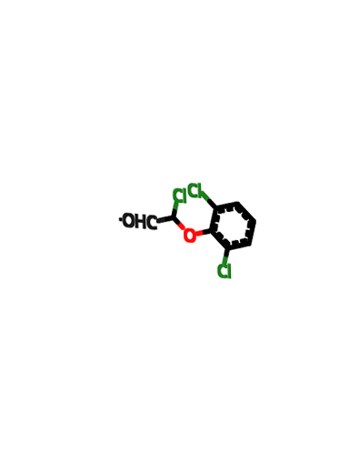 O=[C]C(Cl)Oc1c(Cl)cccc1Cl